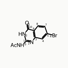 CC(=O)Nc1nc2cc(Br)ccc2c(=O)[nH]1